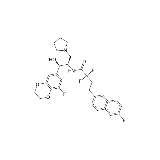 O=C(N[C@H](CN1CCCC1)[C@H](O)c1cc(F)c2c(c1)OCCO2)C(F)(F)CCc1ccc2cc(F)ccc2c1